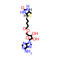 Nc1ncnc2c1ncn2C1OC(COC(=O)CCCC[C@@H]2SC[C@@H]3NC(=O)N[C@@H]32)C(O)C1O